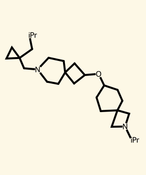 CC(C)CC1(CN2CCC3(CC2)CC(OC2CCC4(CC2)CN(C(C)C)C4)C3)CC1